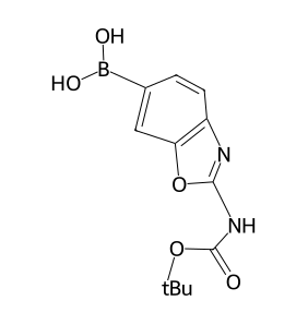 CC(C)(C)OC(=O)Nc1nc2ccc(B(O)O)cc2o1